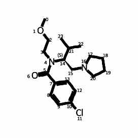 COCCN(C(=O)c1ccc(Cl)cc1)[C@H](CN1CCCC1)C(C)C